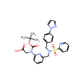 CC(C)(C)OC(=O)N(CC(=O)O)c1cccc(CN(Cc2ccc(-n3cccn3)cc2)S(=O)(=O)c2ccccn2)n1